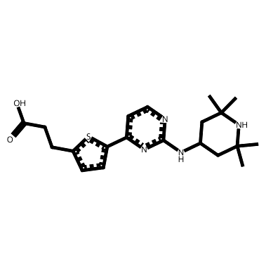 CC1(C)CC(Nc2nccc(-c3ccc(CCC(=O)O)s3)n2)CC(C)(C)N1